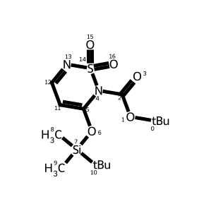 CC(C)(C)OC(=O)N1C(O[Si](C)(C)C(C)(C)C)=CC=NS1(=O)=O